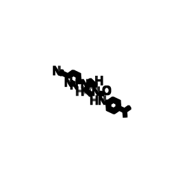 CC(C)c1ccc(NC(=O)N2C[C@H]3C[C@@H]2CN3c2ccc(C#N)nn2)cc1